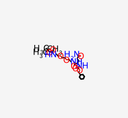 CC(C)(C)OC(=O)NCCOCCOCCNC(=O)C(CCC(N)=O)NC(=O)OCc1ccccc1